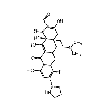 CN(C)CC[C@]12CC(O)=C(C=O)C(=O)[C@@]1(O)C(O)=C1C(=O)c3c(O)cc(C4CCCN4)c(F)c3CC1C2